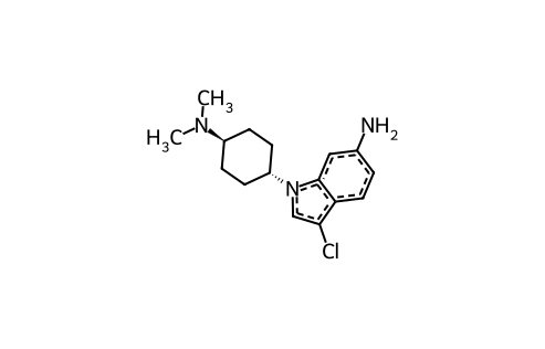 CN(C)[C@H]1CC[C@H](n2cc(Cl)c3ccc(N)cc32)CC1